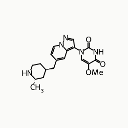 COc1cn(-c2cnn3ccc(C[C@@H]4CCN[C@@H](C)C4)cc23)c(=O)[nH]c1=O